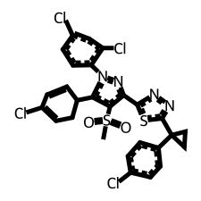 CS(=O)(=O)c1c(-c2nnc(C3(c4ccc(Cl)cc4)CC3)s2)nn(-c2ccc(Cl)cc2Cl)c1C1C=CC(Cl)=CC1